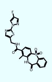 Cc1c(C(=O)NCc2cnc(-n3cc(F)cn3)s2)ccc2c1NC(=O)c1ccccc1S2(=O)=O